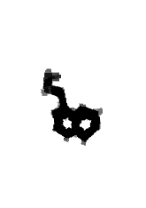 [NH]OCc1cccc2ccccc12